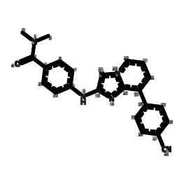 CN(C)C(=O)c1ccc(Nc2nc3c(-c4ccc(C#N)cc4)cccn3n2)cc1